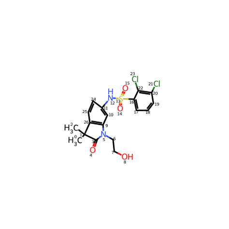 CC1(C)C(=O)N(CCO)c2cc(NS(=O)(=O)c3cccc(Cl)c3Cl)ccc21